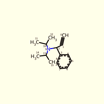 C#CC(c1ccccc1)N(C(C)C)C(C)C